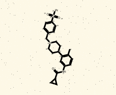 Cc1ccc(NC(=O)C2CC2)cc1C1CCN(Cc2ccc(S(=O)(=O)C(C)C)cc2)CC1